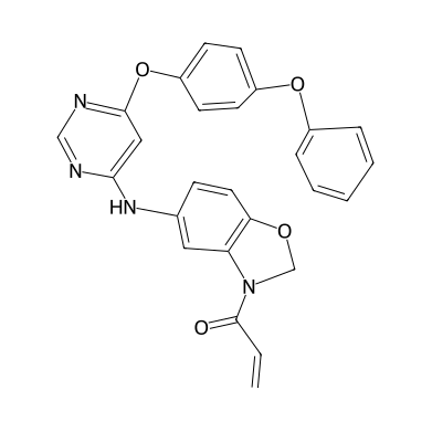 C=CC(=O)N1COc2ccc(Nc3cc(Oc4ccc(Oc5ccccc5)cc4)ncn3)cc21